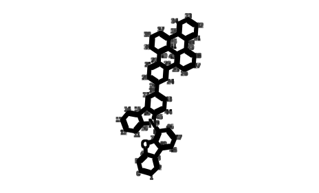 c1ccc2c(c1)oc1c(-n3c4ccccc4c4cc(-c5ccc6c(c5)c5cccc7c8ccccc8c8cccc6c8c75)ccc43)cccc12